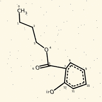 CCCCOC(=O)c1ccccc1[O]